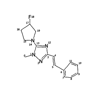 Cn1nc(C=Cc2ccccc2)nc1N1CCC(F)C1